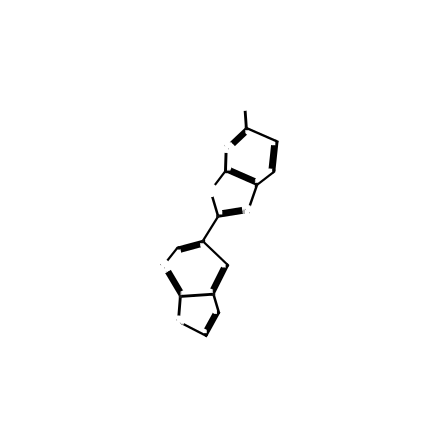 Fc1ccc2nc(-c3cnc4[nH]ccc4c3)sc2n1